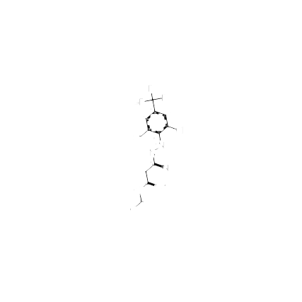 CCOC(=O)CC(=N)NNc1c(Cl)cc(C(F)(F)F)cc1Cl